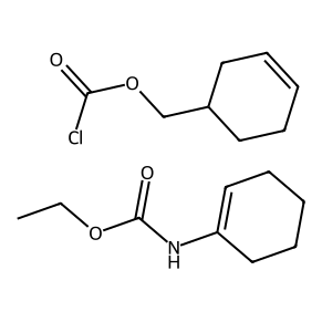 CCOC(=O)NC1=CCCCC1.O=C(Cl)OCC1CC=CCC1